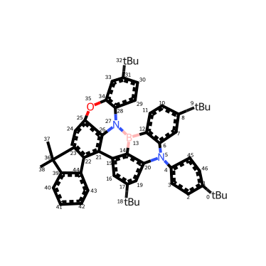 CC(C)(C)c1ccc(N2c3cc(C(C)(C)C)ccc3B3c4c(cc(C(C)(C)C)cc42)-c2c4c(cc5c2N3c2ccc(C(C)(C)C)cc2O5)C(C)(C)c2ccccc2-4)cc1